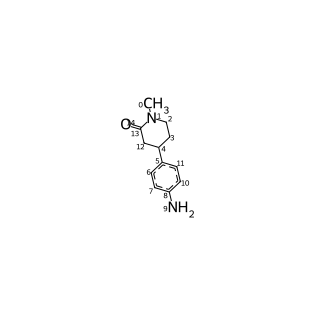 CN1CCC(c2ccc(N)cc2)CC1=O